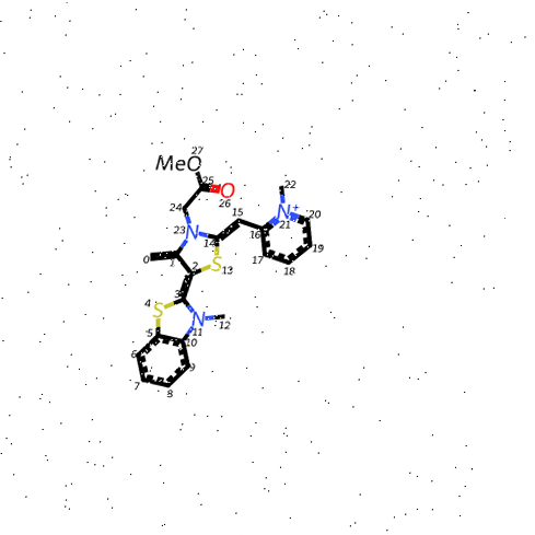 C=C1/C(=C2\Sc3ccccc3N2C)S/C(=C\c2cccc[n+]2C)N1CC(=O)OC